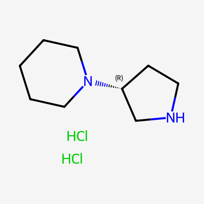 C1CCN([C@@H]2CCNC2)CC1.Cl.Cl